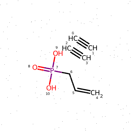 C#C.C#C.C=CCP(=O)(O)O